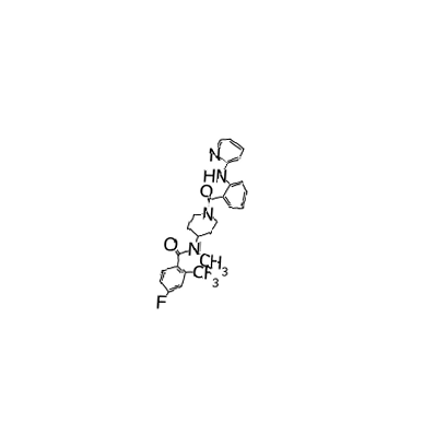 CN(C(=O)c1ccc(F)cc1C(F)(F)F)C1CCN(C(=O)c2ccccc2Nc2ccccn2)CC1